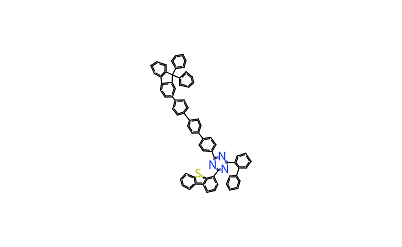 c1ccc(-c2ccccc2-c2nc(-c3ccc(-c4ccc(-c5ccc(-c6ccc7c(c6)C(c6ccccc6)(c6ccccc6)c6ccccc6-7)cc5)cc4)cc3)nc(-c3cccc4c3sc3ccccc34)n2)cc1